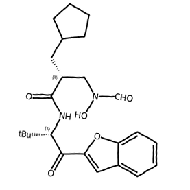 CC(C)(C)[C@H](NC(=O)[C@H](CC1CCCC1)CN(O)C=O)C(=O)c1cc2ccccc2o1